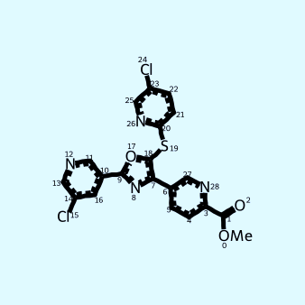 COC(=O)c1ccc(-c2nc(-c3cncc(Cl)c3)oc2Sc2ccc(Cl)cn2)cn1